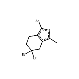 CCC1(CC)CCc2c(C(C)=O)sc(C)c2C1